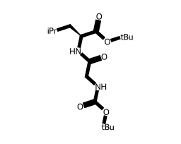 CC(C)C[C@H](NC(=O)CNC(=O)OC(C)(C)C)C(=O)OC(C)(C)C